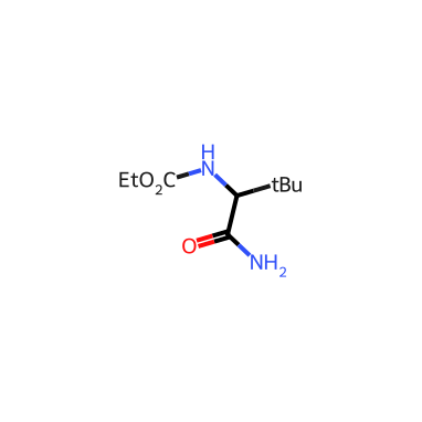 CCOC(=O)NC(C(N)=O)C(C)(C)C